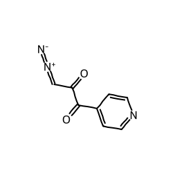 [N-]=[N+]=CC(=O)C(=O)c1ccncc1